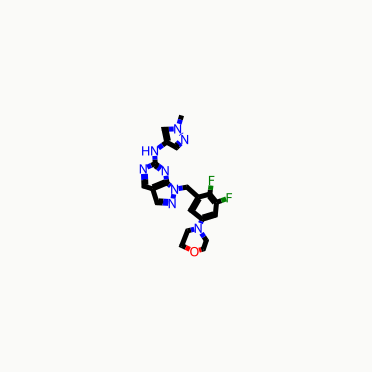 Cn1cc(Nc2ncc3cnn(Cc4cc(N5CCOCC5)cc(F)c4F)c3n2)cn1